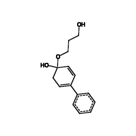 OCCCOC1(O)C=CC(c2ccccc2)=CC1